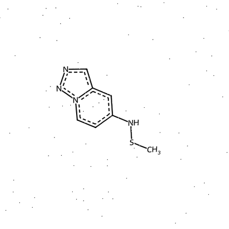 CSNc1ccn2nncc2c1